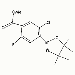 COC(=O)c1cc(Cl)c(B2OC(C)(C)C(C)(C)O2)cc1F